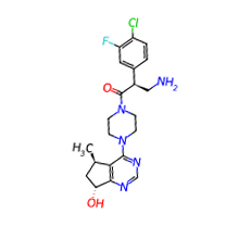 C[C@@H]1C[C@@H](O)c2ncnc(N3CCN(C(=O)[C@H](CN)c4ccc(Cl)c(F)c4)CC3)c21